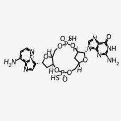 Nc1nc2c(ncn2[C@@H]2O[C@@H]3CO[P@@](=O)(S)O[C@H]4C[C@H](c5cnc6c(N)ccnn56)O[C@@H]4CO[P@@](=O)(S)O[C@@H]2C3)c(=O)[nH]1